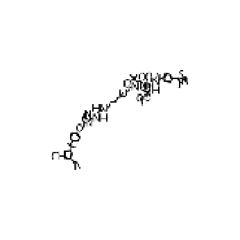 CC(=O)O[C@@H]1C[C@@H](C(=O)N[C@@H](C)c2ccc(-c3scnc3C)cc2)N(C(=O)C(NC(=O)COCCCCCNCCNc2nccc(COc3ccc(C(C)(C)c4cc(Cl)cc(C#N)c4)cc3)n2)C(C)(C)C)C1